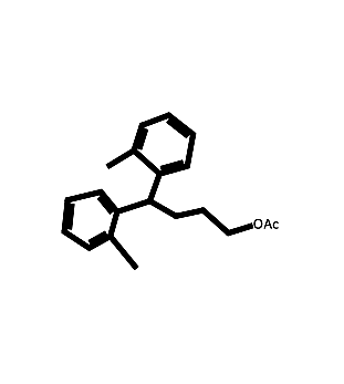 CC(=O)OCCCC(c1ccccc1C)c1ccccc1C